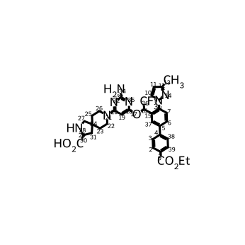 CCOC(=O)c1ccc(-c2ccc(-n3ccc(C)n3)c(C(Oc3cc(N4CCC5(CC4)CNC(C(=O)O)C5)nc(N)n3)C(F)(F)F)c2)cc1